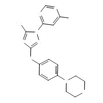 Nc1nc(Nc2ccc(N3CCOCC3)cc2)nn1-c1cc(Cl)ncn1